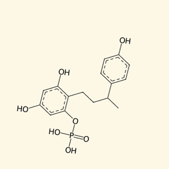 CC(CCc1c(O)cc(O)cc1OP(=O)(O)O)c1ccc(O)cc1